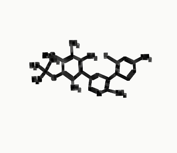 Bc1c(B)c(-c2cnc(N)c(-c3ccc(N)cc3F)c2)c(B)c(OC(B)(B)B)c1OC